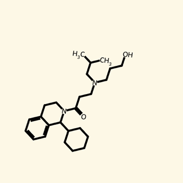 CC(C)CN(CCCO)CCC(=O)N1CCc2ccccc2C1C1CCCCC1